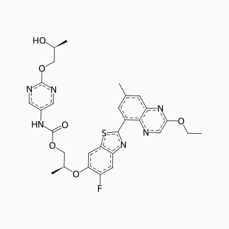 CCOc1cnc2c(-c3nc4cc(F)c(O[C@@H](C)COC(=O)Nc5cnc(OC[C@H](C)O)nc5)cc4s3)cc(C)cc2n1